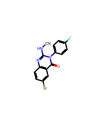 N#CNc1nc2ccc(Br)cc2c(=O)n1-c1ccc(F)cc1